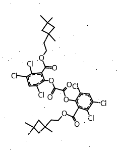 CC1(C)CC(C)(CCOC(=O)c2c(Cl)c(Cl)cc(Cl)c2OC(=O)C(=O)Oc2c(Cl)cc(Cl)c(Cl)c2C(=O)OCCC2(C)CC(C)(C)C2)C1